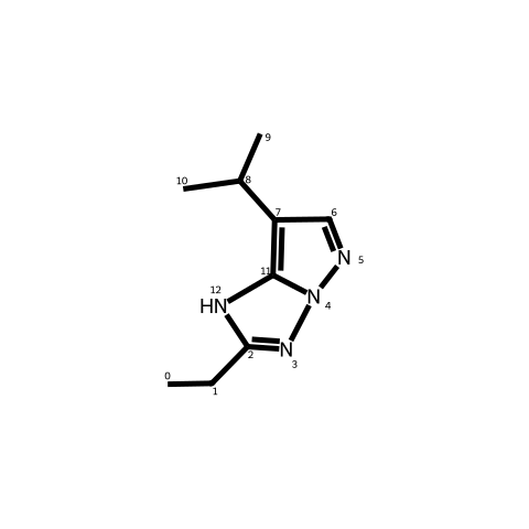 CCc1nn2ncc(C(C)C)c2[nH]1